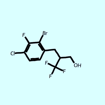 OCC(Cc1ccc(Cl)c(F)c1Br)C(F)(F)F